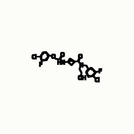 O=C(COc1ccc(Cl)c(F)c1)NC12CC(C(=O)N(CCO)Cc3ccc(Cl)c(F)c3)(C1)C2